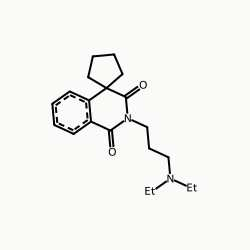 CCN(CC)CCCN1C(=O)c2ccccc2C2(CCCC2)C1=O